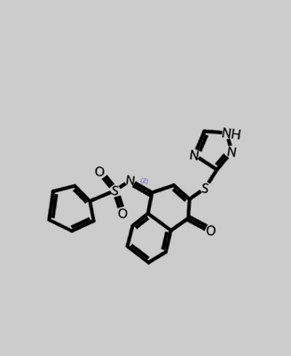 O=C1C(Sc2nc[nH]n2)=C/C(=N/S(=O)(=O)c2ccccc2)c2ccccc21